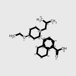 CCO[C@H]1CCN(CC(C)C)[C@H](c2ccc(C(=O)O)c3c2CCCC3)C1